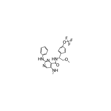 CNc1cnc(Nc2ccccc2)nc1C(=O)NC(COC)c1ccc(OC(F)(F)F)cc1